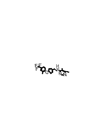 CCc1ncnc(NCCc2ccc(Oc3ccc(C(F)(F)F)cc3C)cc2)c1C